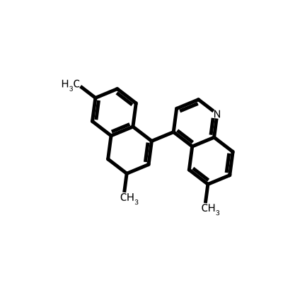 Cc1ccc2c(c1)CC(C)C=C2c1ccnc2ccc(C)cc12